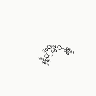 N=C(N)Nc1ccc2c(c1)CCCOc1c(cccc1C(=O)Nc1ccc(COP(=O)(O)O)cc1)OC2=O